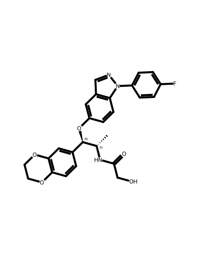 C[C@H](NC(=O)CO)[C@H](Oc1ccc2c(cnn2-c2ccc(F)cc2)c1)c1ccc2c(c1)OCCO2